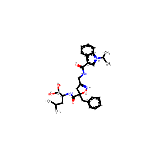 CC(C)C[C@H](NC(=O)C1(Cc2ccccc2)CC(CNC(=O)c2cn(C(C)C)c3ccccc23)=NO1)B(O)O